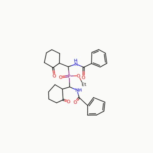 CCOP(=O)(C(NC(=O)c1ccccc1)C1CCCCC1=O)C(NC(=O)c1ccccc1)C1CCCCC1=O